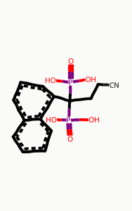 N#CCCC(c1cccc2ccccc12)(P(=O)(O)O)P(=O)(O)O